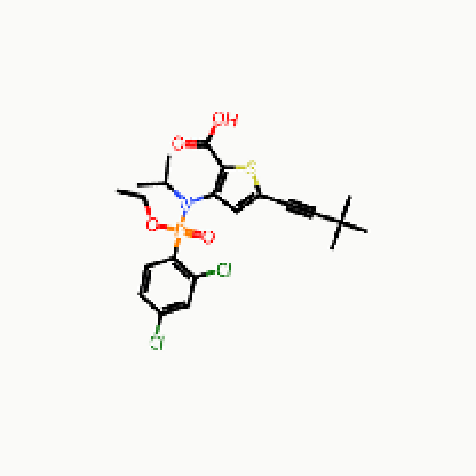 CCOP(=O)(c1ccc(Cl)cc1Cl)N(c1cc(C#CC(C)(C)C)sc1C(=O)O)C(C)C